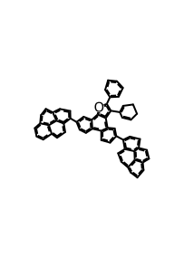 C1=CC(c2c(-c3ccccc3)oc3c4cc(-c5ccc6ccc7cccc8ccc5c6c78)ccc4c4ccc(-c5ccc6ccc7cccc8ccc5c6c78)cc4c23)=CCC1